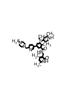 CCN(c1cc(-c2ccc(CN3CCN(C)CC3)nc2)cc(C(=O)NCc2c(C)cc(C)[nH]c2=O)c1C)C1CCN[C@H](C)C1